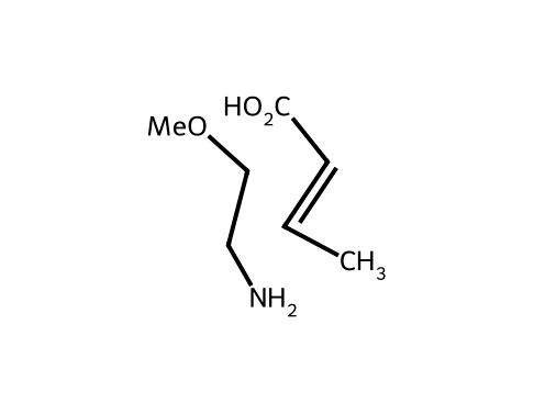 C/C=C/C(=O)O.COCCN